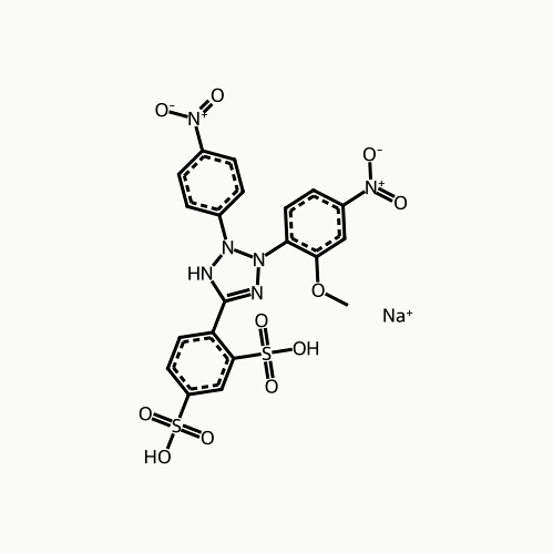 COc1cc([N+](=O)[O-])ccc1N1N=C(c2ccc(S(=O)(=O)O)cc2S(=O)(=O)O)NN1c1ccc([N+](=O)[O-])cc1.[Na+]